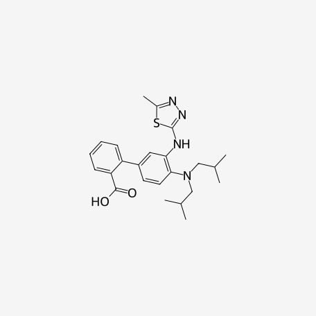 Cc1nnc(Nc2cc(-c3ccccc3C(=O)O)ccc2N(CC(C)C)CC(C)C)s1